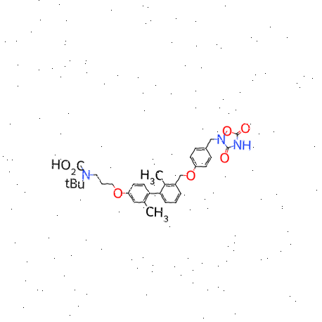 Cc1cc(OCCCN(C(=O)O)C(C)(C)C)ccc1-c1cccc(COc2ccc(Cn3oc(=O)[nH]c3=O)cc2)c1C